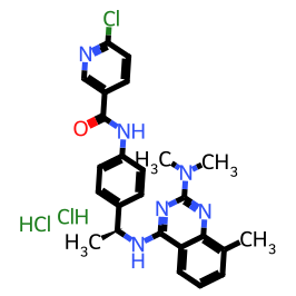 Cc1cccc2c(N[C@@H](C)c3ccc(NC(=O)c4ccc(Cl)nc4)cc3)nc(N(C)C)nc12.Cl.Cl